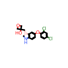 OC1(CB2CNc3ccc(Oc4ccc(Cl)cc4Cl)cc32)COC1